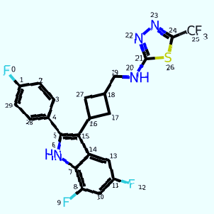 Fc1ccc(-c2[nH]c3c(F)cc(F)cc3c2C2CC(CNc3nnc(C(F)(F)F)s3)C2)cc1